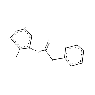 CC(=O)c1ccccc1NC(=O)Cc1ccccc1